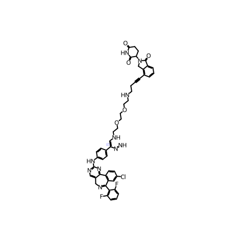 N=N/C(=C\NCCOCCOCCNCCC#Cc1cccc2c1CN(C1CCC(=O)NC1=O)C2=O)c1ccc(Nc2ncc3c(n2)-c2ccc(Cl)cc2C(c2c(F)cccc2F)=NC3)cc1